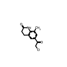 Cc1cc(C(=O)CCl)cc2c1NC(=O)CC2